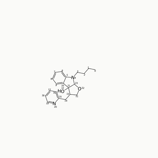 CCCCN1c2ccccc2C2(O)C(Cc3ccccn3)COC12